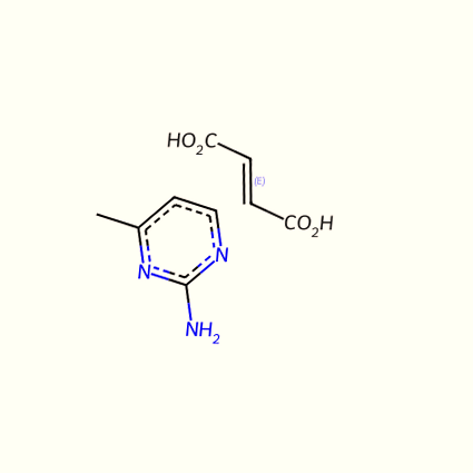 Cc1ccnc(N)n1.O=C(O)/C=C/C(=O)O